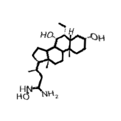 CC[C@H]1[C@@H](O)C2C3CC[C@H]([C@H](C)CC(N)NO)[C@@]3(C)CCC2[C@@]2(C)CC[C@@H](O)C[C@@H]12